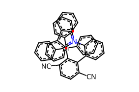 N#Cc1ccc(C#N)c([Si](c2ccccc2)(c2ccccc2)c2ccccc2)c1-c1ccccc1-n1c2ccccc2c2ccccc21